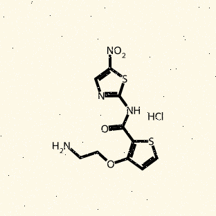 Cl.NCCOc1ccsc1C(=O)Nc1ncc([N+](=O)[O-])s1